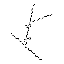 CCCCCCCCCCC(CCCCCCCC)COC(=O)CCCCC(=O)OCC(CCCCCCCC)CCCCCCCCCC